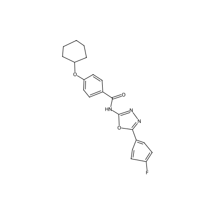 O=C(Nc1nnc(-c2ccc(F)cc2)o1)c1ccc(OC2CCCCC2)cc1